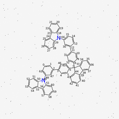 c1cc(-c2ccc(C3(c4ccc(-c5cccc(-n6c7ccccc7c7ccccc76)c5)cc4)c4ccccc4-c4ccccc43)cc2)cc(-n2c3ccccc3c3ccccc32)c1